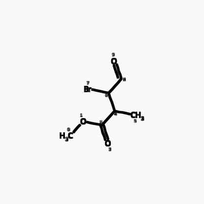 COC(=O)C(C)C(Br)C=O